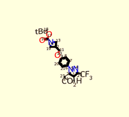 C[C@@H]1C(C(F)(F)F)=NN(c2ccc(OCC3CN(C(=O)OC(C)(C)C)C3)cc2)[C@H]1CC(=O)O